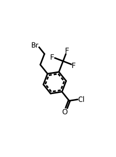 O=C(Cl)c1ccc(CCBr)c(C(F)(F)F)c1